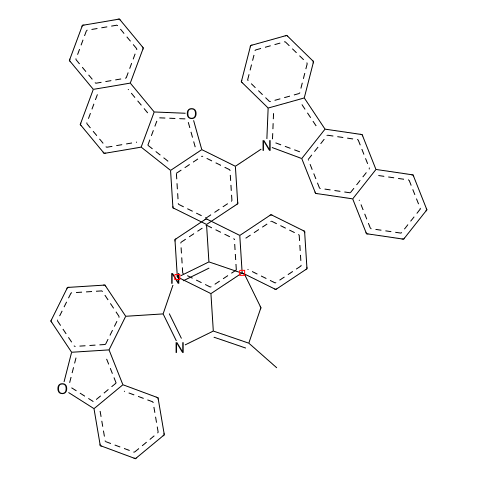 C\C1=C(c2cccc3ccccc23)/N=C(c2cccc3oc4ccccc4c23)\N=C(\c2cc(-n3c4ccccc4c4cc5ccccc5cc43)c3oc4c5ccccc5ccc4c3c2)CC1